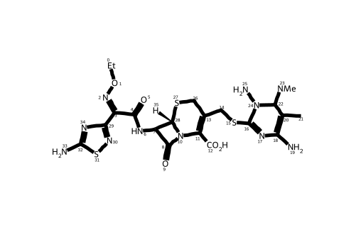 CCO/N=C(\C(=O)NC1C(=O)N2C(C(=O)O)=C(CSC3=NC(N)=C(C)C(NC)N3N)CS[C@@H]12)c1nsc(N)n1